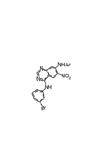 CC(=O)Nc1cc2ncnc(Nc3cccc(Br)c3)c2cc1[N+](=O)[O-]